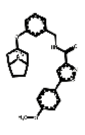 COc1ccc(-c2cc(C(=O)NCc3cccc(OC4CC5CCC(C4)N5C)c3)no2)cc1